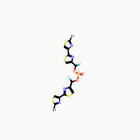 CCc1nc(-c2nc(C(F)O[PH](=O)OC(F)c3csc(-c4csc(CC)n4)n3)cs2)cs1